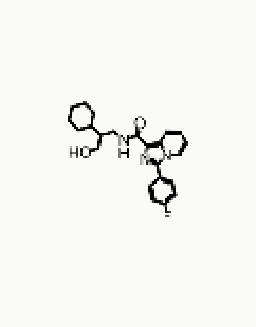 O=C(NCC(CO)C1CCCCC1)c1nc(-c2ccc(F)cc2)n2ccccc12